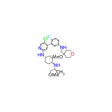 COC[C@H](C)N[C@H]1CC[C@H](Nc2cc(-c3cc(NCC4(OC)CCOCC4)ccc3F)c(Cl)cn2)CC1